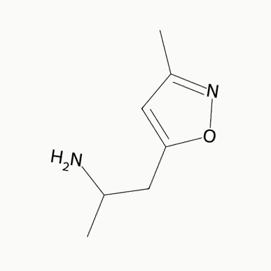 Cc1cc(CC(C)N)on1